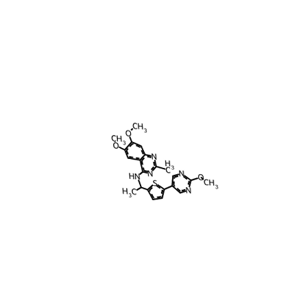 COc1ncc(-c2ccc(C(C)Nc3nc(C)nc4cc(OC)c(OC)cc34)s2)cn1